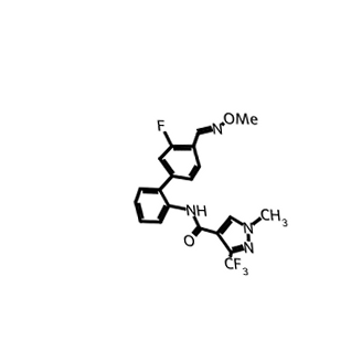 CO/N=C/c1ccc(-c2ccccc2NC(=O)c2cn(C)nc2C(F)(F)F)cc1F